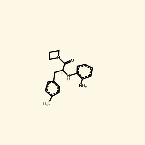 Cc1ccc(C[C@H](Nc2ccccc2N)C(=O)N2CCC2)cc1